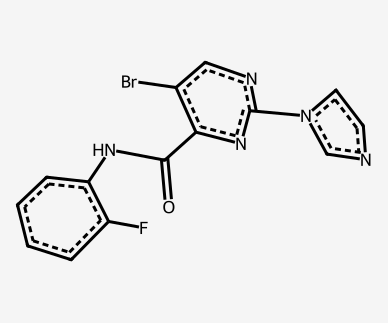 O=C(Nc1ccccc1F)c1nc(-n2ccnc2)ncc1Br